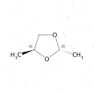 C[C@H]1OC[C@H](C)O1